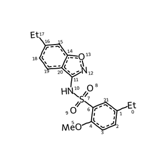 CCc1ccc(OC)c(S(=O)(=O)Nc2noc3cc(CC)ccc23)c1